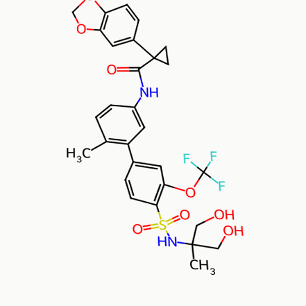 Cc1ccc(NC(=O)C2(c3ccc4c(c3)OCO4)CC2)cc1-c1ccc(S(=O)(=O)NC(C)(CO)CO)c(OC(F)(F)F)c1